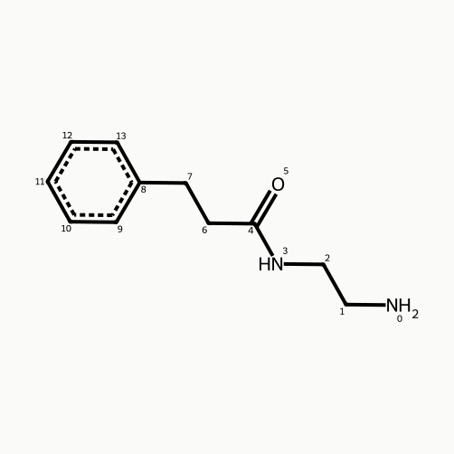 NCCNC(=O)CCc1ccccc1